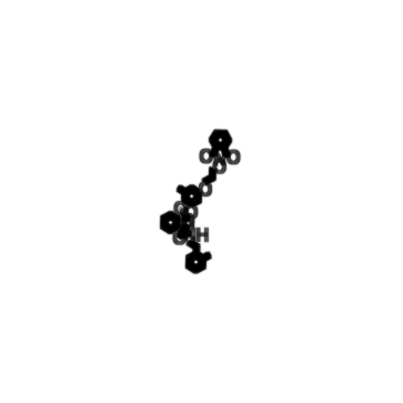 Cc1cc(OCCCON2C(=O)c3ccccc3C2=O)cc(OS(=O)(=O)c2ccccc2S(=O)(=O)NCCc2ccccc2C)c1